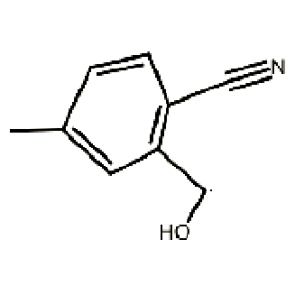 Cc1ccc(C#N)c([CH]O)c1